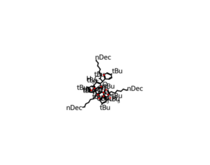 CCCCCCCCCCCCCCCCC(C)C(OP(OC(c1ccc(C(C)(C)C)cc1C(C)(C)C)(c1ccc(C(C)(C)C)cc1C(C)(C)C)C(C)CCCCCCCCCCCCCCCC)OC(c1ccc(C(C)(C)C)cc1C(C)(C)C)(c1ccc(C(C)(C)C)cc1C(C)(C)C)C(C)CCCCCCCCCCCCCCCC)(c1ccc(C(C)(C)C)cc1C(C)(C)C)c1ccc(C(C)(C)C)cc1C(C)(C)C